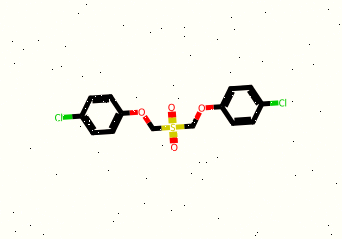 O=S(=O)(COc1ccc(Cl)cc1)COc1ccc(Cl)cc1